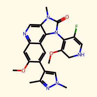 COC1=C(n2c(=O)n(C)c3cnc4cc(OC)c(-c5cn(C)nc5C)cc4c32)C(F)=CNC1